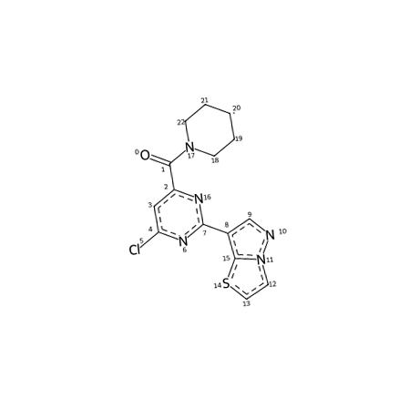 O=C(c1cc(Cl)nc(-c2cnn3ccsc23)n1)N1CC[CH]CC1